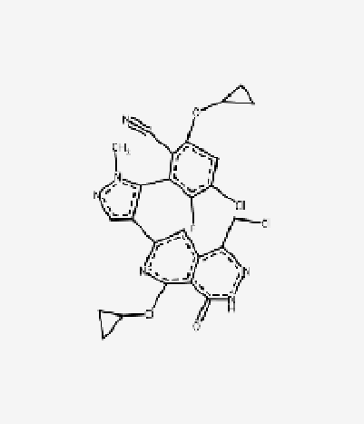 Cn1ncc(-c2cc3c(CCl)n[nH]c(=O)c3c(OC3CC3)n2)c1-c1c(F)c(Cl)cc(OC2CC2)c1C#N